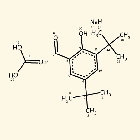 CC(C)(C)c1cc(C=O)c(O)c(C(C)(C)C)c1.O=C(O)O.[NaH]